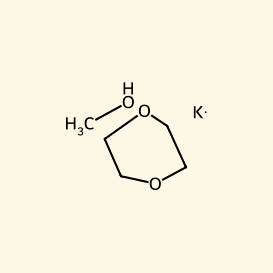 C1COCCO1.CO.[K]